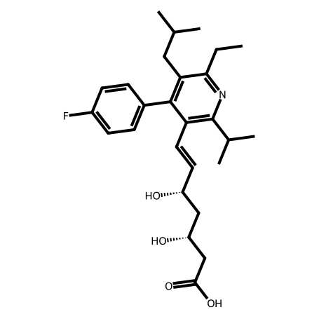 CCc1nc(C(C)C)c(/C=C/[C@@H](O)C[C@@H](O)CC(=O)O)c(-c2ccc(F)cc2)c1CC(C)C